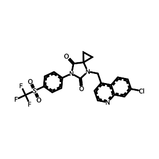 O=C1N(c2ccc(S(=O)(=O)C(F)(F)F)cc2)C(=O)C2(CC2)N1Cc1ccnc2cc(Cl)ccc12